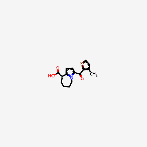 Cc1ccsc1C(=O)c1ccc2n1CCCCC2C(=O)O